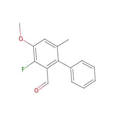 COc1cc(C)c(-c2ccccc2)c(C=O)c1F